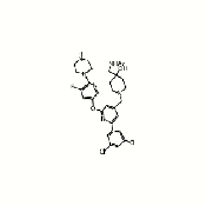 CC(=O)NCC1(O)CCN(Cc2cc(Oc3cnc(N4CCNCC4)c(F)c3)nc(-c3cc(Cl)cc(Cl)c3)c2)CC1